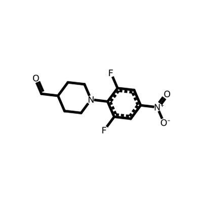 O=CC1CCN(c2c(F)cc([N+](=O)[O-])cc2F)CC1